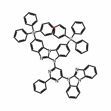 c1ccc(-c2nc(-n3c4ccccc4n4c5ccccc5nc34)cc(-n3c4ccc([Si](c5ccccc5)(c5ccccc5)c5ccccc5)cc4n4c5cc([Si](c6ccccc6)(c6ccccc6)c6ccccc6)ccc5nc34)n2)cc1